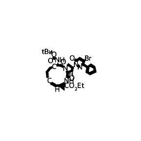 CCOC(=O)[C@@]12C[C@H]1/C=C\CCCCC[C@H](NC(=O)OC(C)(C)C)C(=O)N1C[C@H](n3nc(-c4ccccc4)c(Br)cc3=O)C[C@H]1C(=O)N2